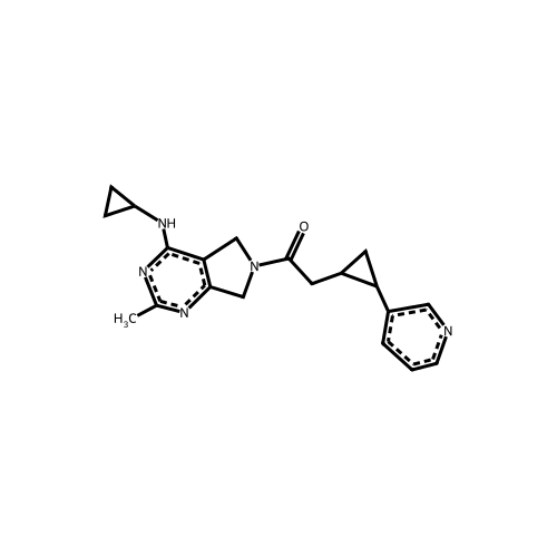 Cc1nc2c(c(NC3CC3)n1)CN(C(=O)CC1CC1c1cccnc1)C2